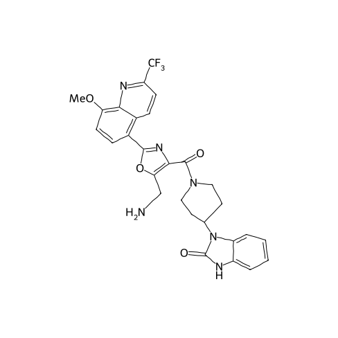 COc1ccc(-c2nc(C(=O)N3CCC(n4c(=O)[nH]c5ccccc54)CC3)c(CN)o2)c2ccc(C(F)(F)F)nc12